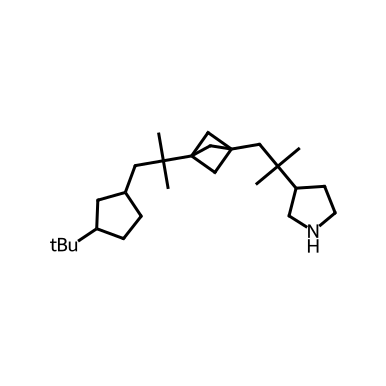 CC(C)(C)C1CCC(CC(C)(C)C23CC(CC(C)(C)C4CCNC4)(C2)C3)C1